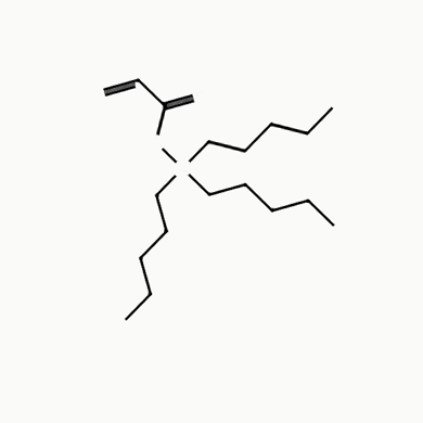 C=CC(=O)O[Si](CCCCC)(CCCCC)CCCCC